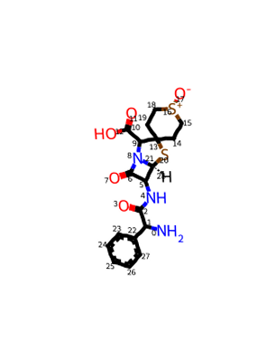 NC(C(=O)NC1C(=O)N2C(C(=O)O)C3(CC[S+]([O-])CC3)S[C@@H]12)c1ccccc1